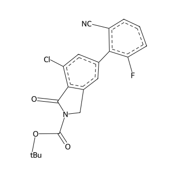 CC(C)(C)OC(=O)N1Cc2cc(-c3c(F)cccc3C#N)cc(Cl)c2C1=O